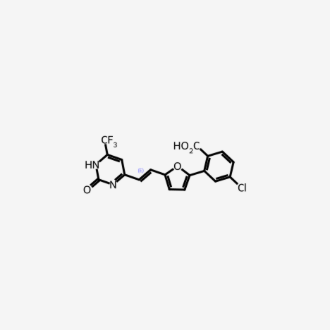 O=C(O)c1ccc(Cl)cc1-c1ccc(/C=C/c2cc(C(F)(F)F)[nH]c(=O)n2)o1